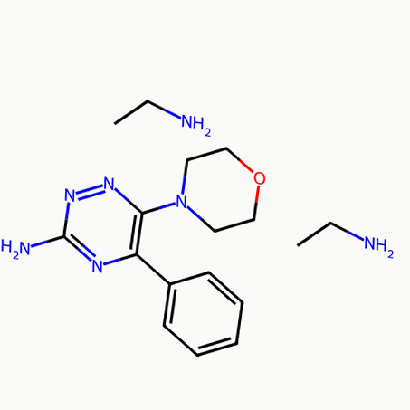 CCN.CCN.Nc1nnc(N2CCOCC2)c(-c2ccccc2)n1